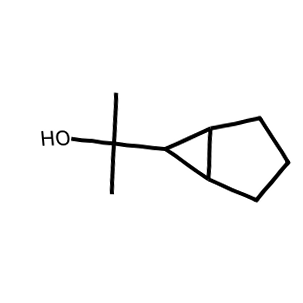 CC(C)(O)C1C2CCCC21